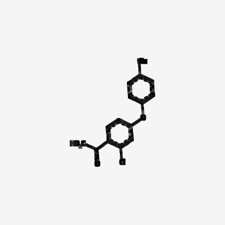 CC(C)(C)c1ccc(Oc2ccc(C(=O)C(=O)O)c(Cl)c2)cc1